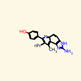 CCCc1c(-c2ccc(O)cc2)nc2ccc3[nH]c(N)nc3c2c1C